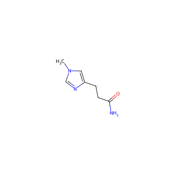 Cn1cnc([CH]CC(N)=O)c1